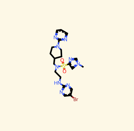 Cn1cnc(S(=O)(=O)N(CCNc2ncc(Br)cn2)CC2CCN(c3ncccn3)CC2)c1